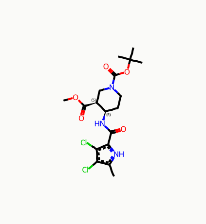 COC(=O)[C@H]1CN(C(=O)OC(C)(C)C)CC[C@H]1NC(=O)c1[nH]c(C)c(Cl)c1Cl